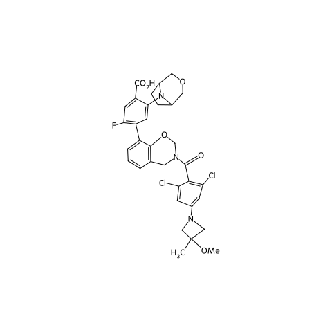 COC1(C)CN(c2cc(Cl)c(C(=O)N3COc4c(cccc4-c4cc(N5C6CCC5COC6)c(C(=O)O)cc4F)C3)c(Cl)c2)C1